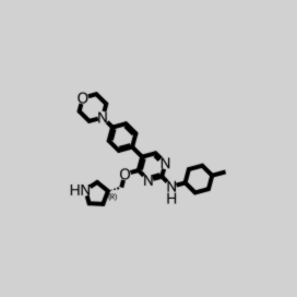 CC1CCC(Nc2ncc(-c3ccc(N4CCOCC4)cc3)c(OC[C@@H]3CCNC3)n2)CC1